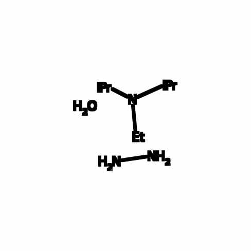 CCN(C(C)C)C(C)C.NN.O